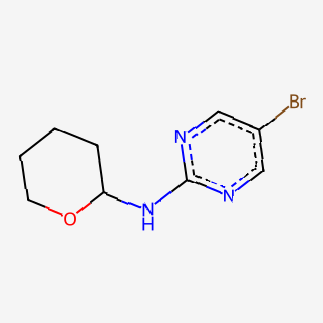 Brc1cnc(NC2CCCCO2)nc1